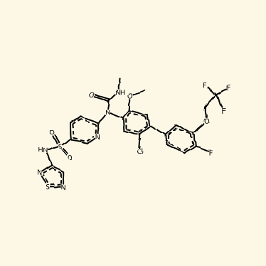 CNC(=O)N(c1ccc(S(=O)(=O)Nc2cnsn2)cn1)c1cc(Cl)c(-c2ccc(F)c(OCC(F)(F)F)c2)cc1OC